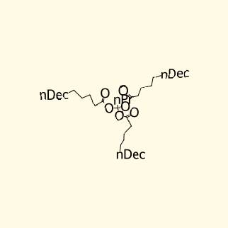 CCCCCCCCCCCCCCC(=O)OC(CCC)(OC(=O)CCCCCCCCCCCCCC)OC(=O)CCCCCCCCCCCCCC